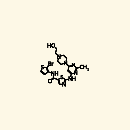 Cc1nc(Nc2ncc(C(=O)Nc3ccsc3Br)s2)cc(N2CCN(CCO)CC2)n1